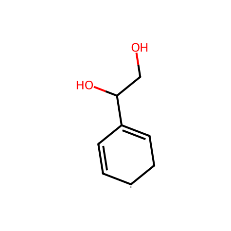 OCC(O)C1=CC[CH]C=C1